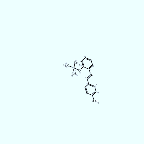 Cc1ccc(C=Nc2ccccc2O[Si](C)(C)C)nc1